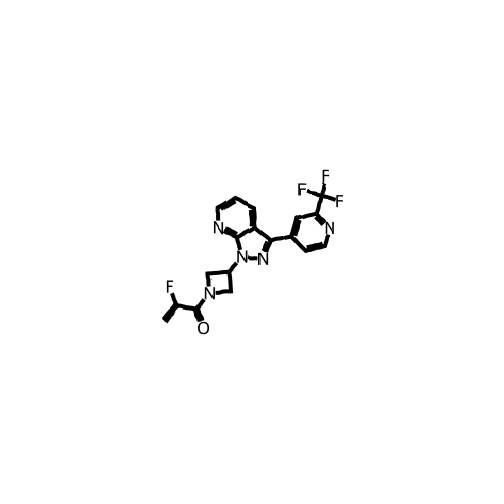 C=C(F)C(=O)N1CC(n2nc(-c3ccnc(C(F)(F)F)c3)c3cccnc32)C1